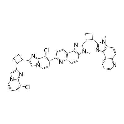 Cn1c(C2CCC2c2nc3c4ccc(-c5ccn6cc(C7CCC7c7cn8cccc(Cl)c8n7)nc6c5Cl)nc4ccc3n2C)nc2c3cccnc3ccc21